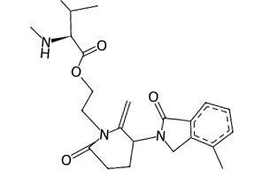 C=C1C(N2Cc3c(C)cccc3C2=O)CCC(=O)N1CCOC(=O)[C@@H](NC)C(C)C